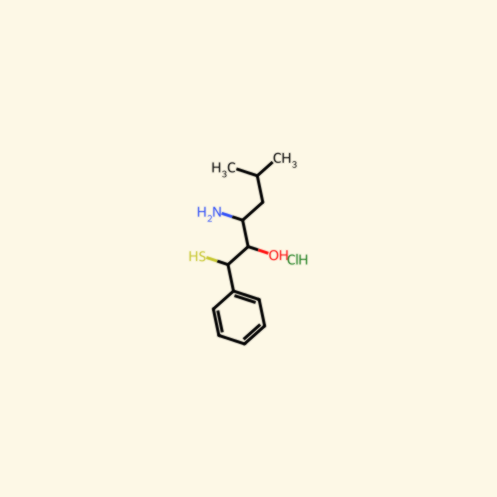 CC(C)CC(N)C(O)C(S)c1ccccc1.Cl